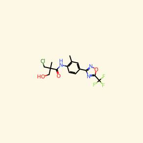 Cc1cc(-c2noc(C(F)(F)F)n2)ccc1NC(=O)C(C)(CO)CCl